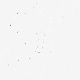 C1=C2Cc3nc4ccccc4nc3C2=CCC1